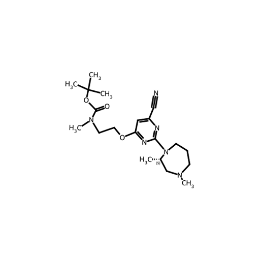 C[C@H]1CN(C)CCCN1c1nc(C#N)cc(OCCN(C)C(=O)OC(C)(C)C)n1